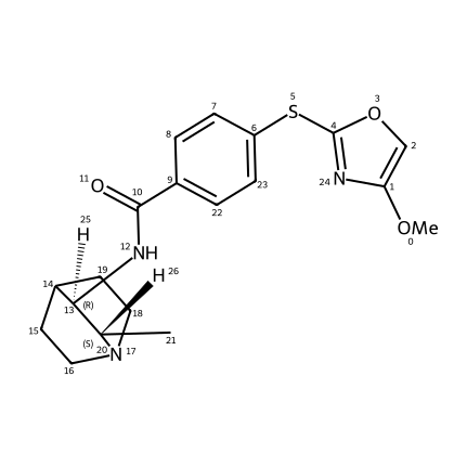 COc1coc(Sc2ccc(C(=O)N[C@@H]3C4CCN(CC4)[C@H]3C)cc2)n1